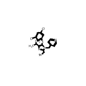 CC(C)c1nc(CBr)n(Cc2ccncc2)c1Sc1cc(Cl)cc(Cl)c1